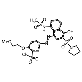 COCCOc1ccc(N=Nc2cc(S(=O)(=O)N3CCCC3)c(O)c3cccc(NS(C)(=O)=O)c23)cc1S(=O)(=O)Cl